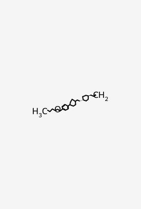 C=CC[C@H]1CC[C@H](CCC2CCC(c3ccc(COCCCCC)cc3)CC2)CC1